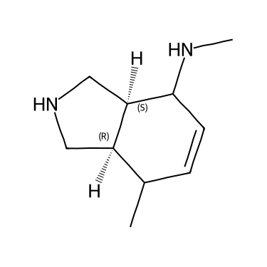 CNC1C=CC(C)[C@H]2CNC[C@@H]12